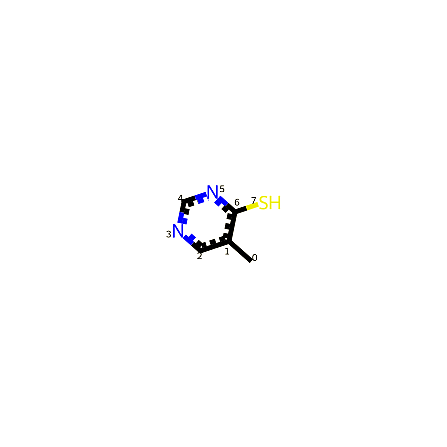 Cc1cncnc1S